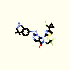 CC1(C)CNCc2cc(Nc3ncc4c(=O)n(CC(F)(F)F)n(-c5nc(C6(CF)CC6)cs5)c4n3)ccc21